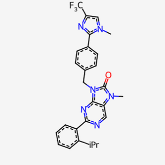 CC(C)c1ccccc1-c1ncc2c(n1)n(Cc1ccc(-c3nc(C(F)(F)F)cn3C)cc1)c(=O)n2C